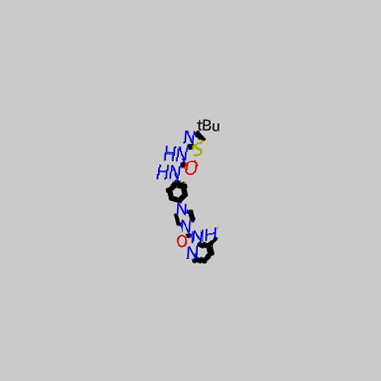 Cc1cccnc1NC(=O)N1CCN(c2ccc(NC(=O)Nc3nc(C(C)(C)C)cs3)cc2)CC1